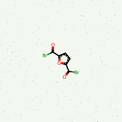 O=C(Br)c1ccc(C(=O)Br)o1